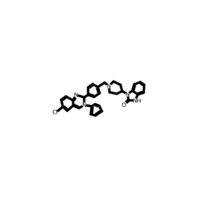 O=c1[nH]c2ccccc2n1C1CCN(Cc2ccc(C3N=c4ccc(Cl)cc4=CN3c3ccccc3)cc2)CC1